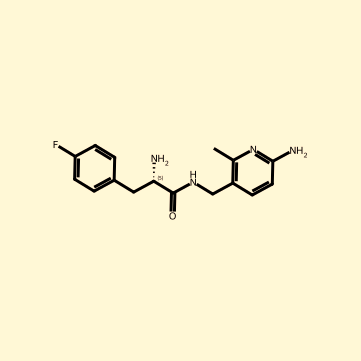 Cc1nc(N)ccc1CNC(=O)[C@@H](N)Cc1ccc(F)cc1